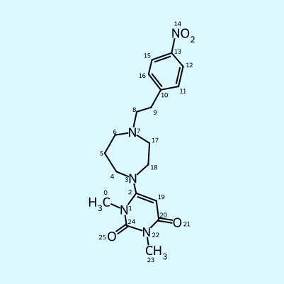 Cn1c(N2CCCN(CCc3ccc([N+](=O)[O-])cc3)CC2)cc(=O)n(C)c1=O